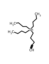 C#CCC[CH2][Sn]([CH2]CCC)([CH2]CCC)[CH2]CCC